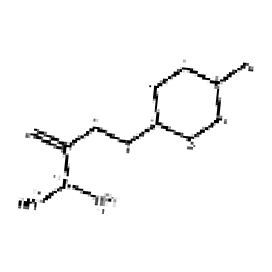 C=C(CCC1CCC(C)CC1)N(CCC)CCC